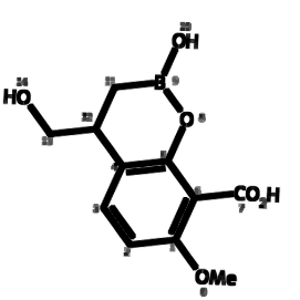 COc1ccc2c(c1C(=O)O)OB(O)CC2CO